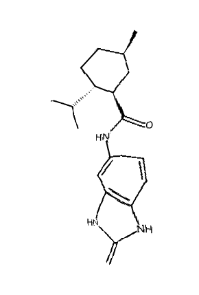 C=C1Nc2ccc(NC(=O)[C@@H]3C[C@H](C)CC[C@H]3C(C)C)cc2N1